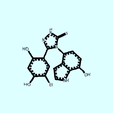 CCc1cc(-c2n[nH]c(=S)n2-c2ccc(O)c3[nH]ccc23)c(O)cc1O